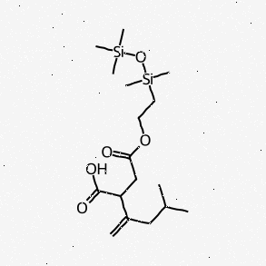 C=C(CC(C)C)C(CC(=O)OCC[Si](C)(C)O[Si](C)(C)C)C(=O)O